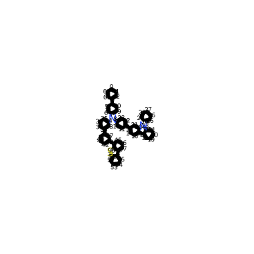 c1ccc(-c2ccc(N(c3ccc(-c4ccc5c6ccccc6n(-c6ccccc6)c5c4)cc3)c3cccc(-c4cccc(-c5cccc6c5sc5ccccc56)c4)c3)cc2)cc1